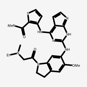 CCN(C)CC(=O)N1CCc2cc(OC)c(Nc3nc(Nc4ccsc4C(=O)NC)c4ccnc-4[nH]3)cc21